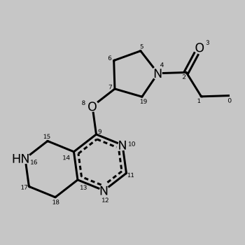 CCC(=O)N1CCC(Oc2ncnc3c2CNCC3)C1